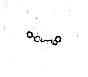 c1ccc(C2CCN(CCCCn3ccc4ccccc43)CC2)cc1